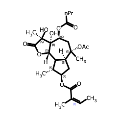 C/C=C(/C)C(=O)O[C@@H]1C[C@H]2C([C@H]1C)[C@@H]1OC(=O)[C@@](C)(O)[C@@]1(O)[C@@H](OC(=O)CCC)C[C@]2(C)OC(C)=O